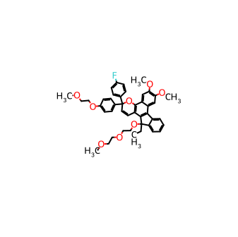 CCC1(OCCOCCOC)c2ccccc2-c2c1c1c(c3cc(OC)c(OC)cc23)OC(c2ccc(F)cc2)(c2ccc(OCCOC)cc2)C=C1